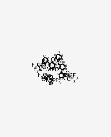 COc1c([S+](c2ccccc2)c2cccc(C34CCC(C3)C3C4OC3(C(F)(F)F)C(F)(F)F)c2OC)cccc1C12CCC(C1)C1C2OC1(C(F)(F)F)C(F)(F)F.O=S(=O)([N-]S(=O)(=O)C(F)(F)F)C(F)(F)F